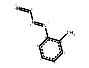 Cc1ccccc1N=NC=N